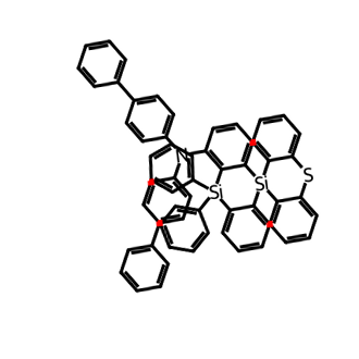 c1ccc(-c2ccc(N(c3ccc(-c4ccccc4)cc3)c3cccc4c3[Si](c3ccccc3)(c3ccccc3)c3ccccc3[Si]43c4ccccc4Sc4ccccc43)cc2)cc1